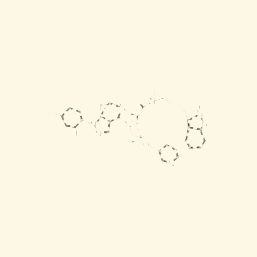 Cn1nc2cccc3c2c1CCCNC(=O)[C@@H]1C[C@@H](CN1c1ncnc2c1cnn2-c1ccc(F)cc1F)Oc1cncc-3c1